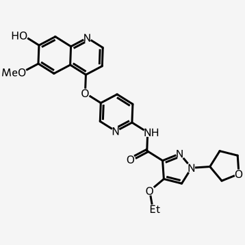 CCOc1cn(C2CCOC2)nc1C(=O)Nc1ccc(Oc2ccnc3cc(O)c(OC)cc23)cn1